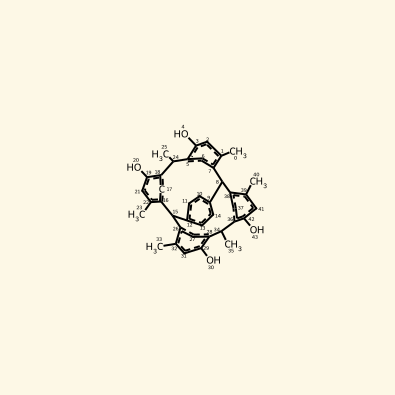 Cc1cc(O)c2cc1C1c3ccc(cc3)C(c3cc(c(O)cc3C)C2C)c2cc(c(O)cc2C)C(C)c2cc1c(C)cc2O